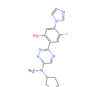 CN(c1cnc(-c2cc(F)c(-n3ccnc3)cc2O)nn1)C1CCCC1